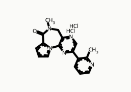 Cc1ncccc1-c1cnc2c(n1)-n1cccc1C(=O)N(C)C2.Cl.Cl